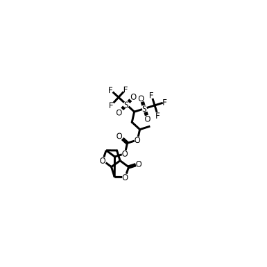 CC(CC(S(=O)(=O)C(F)(F)F)S(=O)(=O)C(F)(F)F)OC(=O)OC1C2CC3C(=O)OC1C3O2